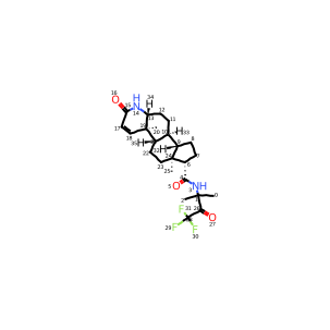 CC(C)(NC(=O)[C@H]1CC[C@H]2[C@@H]3CC[C@H]4NC(=O)C=C[C@]4(C)[C@H]3CC[C@]12C)C(=O)C(F)(F)F